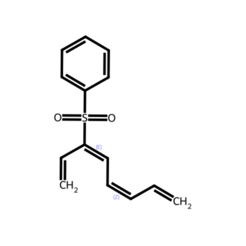 C=C/C=C\C=C(/C=C)S(=O)(=O)c1ccccc1